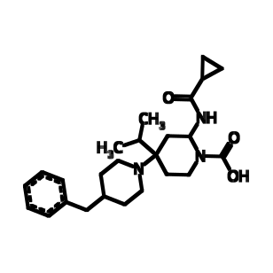 CC(C)C1(N2CCC(Cc3ccccc3)CC2)CCN(C(=O)O)C(NC(=O)C2CC2)C1